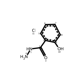 NNC(=O)c1ccccc1O.[C]